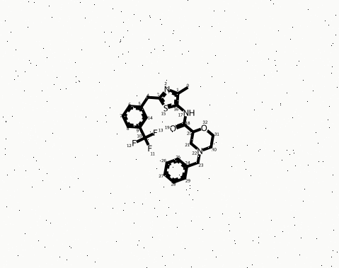 Cc1nc(Cc2cccc(C(F)(F)F)c2)sc1NC(=O)C1CN(Cc2ccccc2)CCO1